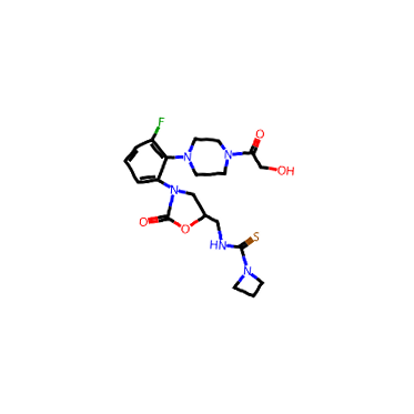 O=C(CO)N1CCN(c2c(F)cccc2N2CC(CNC(=S)N3CCC3)OC2=O)CC1